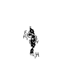 C[C@H](N(Cc1ccc(F)cc1)C(=O)CN1C(=O)NC2(CCc3c(C4=CCN(C(=O)O)CC4)cccc32)C1=O)C(F)(F)F